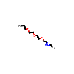 CC(C)CCOCCOCCOCCNCC(C)(C)C